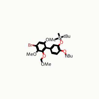 CCCCOc1ccc(-c2c(OC)cc(Br)c(OC)c2OCOC)cc1O[Si](C)(C)C(C)(C)C